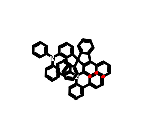 c1ccc(-c2ccccc2N(c2ccccc2)c2cc3ccccc3c3c2C2(c4ccccc4-c4c(N(c5ccccc5)c5ccccc5)cccc42)c2ccccc2-3)cc1